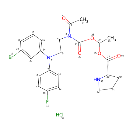 CC(=O)N(CCN(c1ccc(F)cc1)c1cccc(Br)c1)C(=O)OC(C)OC(=O)[C@@H]1CCCN1.Cl